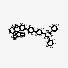 CC12CC=CC=C1C1(c3cc(-c4ccc(-c5ccc(-c6cc(-c7ccccc7)nc(-c7ccccc7)n6)cc5)cc4)ccc3O2)c2ccccc2-c2ccccc21